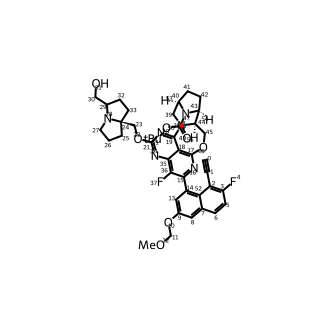 C#Cc1c(F)ccc2cc(OCOC)cc(-c3nc4c5c(nc(OC[C@@]67CCCN6C(CO)CC7)nc5c3F)N3C[C@H]5CC[C@@H]([C@H]3CO4)N5C(=O)OC(C)(C)C)c12